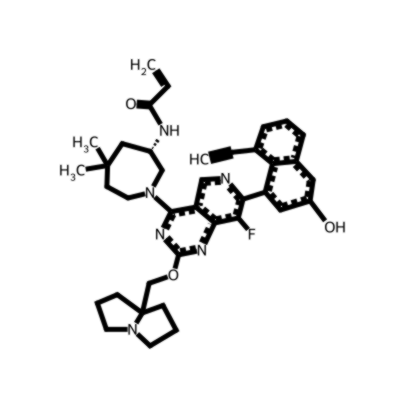 C#Cc1cccc2cc(O)cc(-c3ncc4c(N5CCC(C)(C)C[C@H](NC(=O)C=C)C5)nc(OCC56CCCN5CCC6)nc4c3F)c12